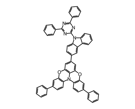 c1ccc(-c2ccc3c(c2)Oc2cc(-c4ccc5c(c4)c4ccccc4n5-c4nc(-c5ccccc5)nc(-c5ccccc5)n4)cc4c2N3c2ccc(-c3ccccc3)cc2O4)cc1